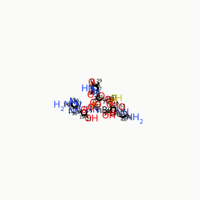 CCCCNP(=O)(OC[C@H]1O[C@@H](n2cnc3c(N)ncnc32)CC1O)OC1C[C@H](n2cc(C)c(=O)[nH]c2=O)O[C@@H]1COP(=O)(S)OC1C[C@H](n2ccc(N)nc2=O)O[C@@H]1CO